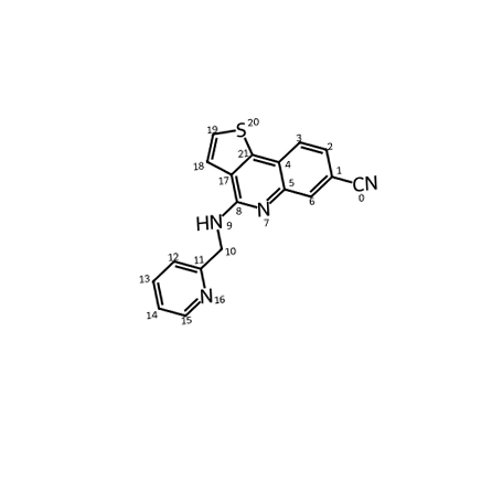 N#Cc1ccc2c(c1)nc(NCc1ccccn1)c1ccsc12